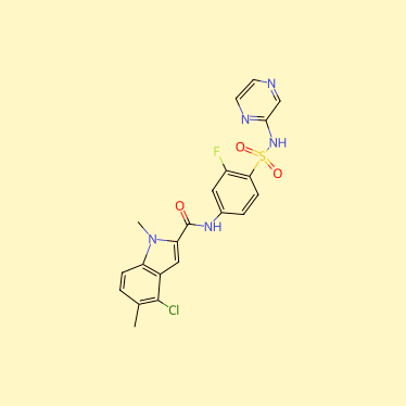 Cc1ccc2c(cc(C(=O)Nc3ccc(S(=O)(=O)Nc4cnccn4)c(F)c3)n2C)c1Cl